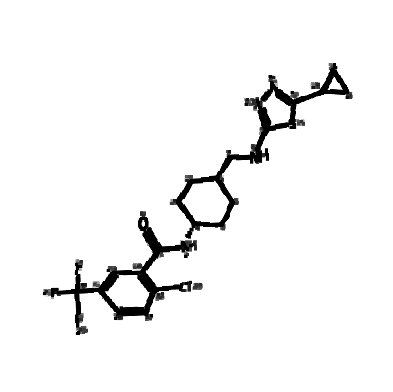 O=C(N[C@H]1CC[C@H](CNc2nnc(C3CC3)s2)CC1)c1cc(C(F)(F)F)ccc1Cl